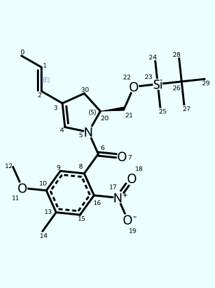 C/C=C/C1=CN(C(=O)c2cc(OC)c(C)cc2[N+](=O)[O-])[C@H](CO[Si](C)(C)C(C)(C)C)C1